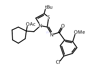 COc1ccc(Cl)cc1C(=O)/N=c1\sc(C(C)(C)C)cn1CC1(OC(C)=O)CCCCC1